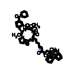 C=C1[C@H](Cc2ccc(C(=O)N3CCCCC3)cc2)NC(=O)[C@](C)(CC)NC(=O)[C@H](CCC/C=C/C(=O)[C@@H](C)CC(C)(C)[Si](O)(c2ccccc2)c2ccccc2)NC(=O)[C@H]2CCCN12